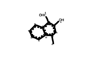 Cc1cc(O)c(C=O)c2ccccc12